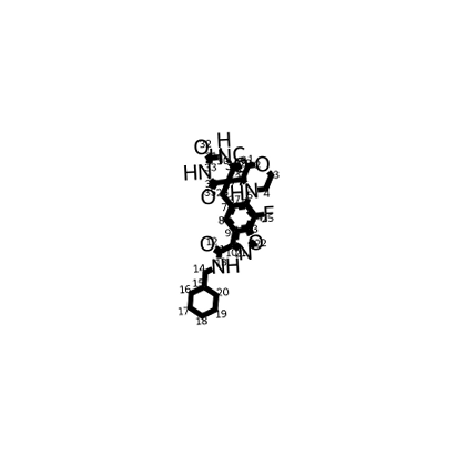 C[C@@H]1OCCN2c3c(cc4c(C(=O)NCC5CCCCC5)noc4c3F)CC3(C(=O)NC(=O)NC3=O)[C@@H]12